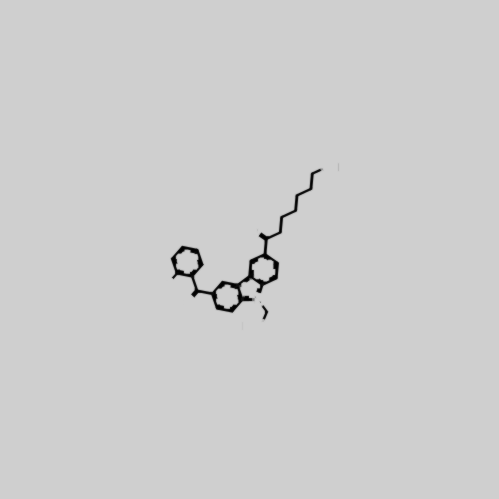 CCCCCCCC(=O)c1ccc2c(c1)c1cc(C(=O)c3ccccc3O)ccc1n2CC